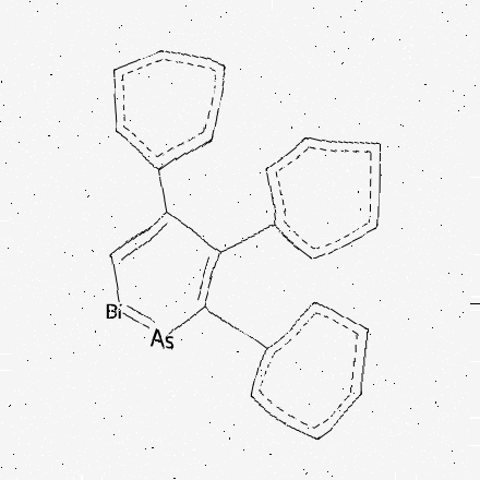 [CH]1=C(c2ccccc2)C(c2ccccc2)=C(c2ccccc2)[As]=[Bi]1